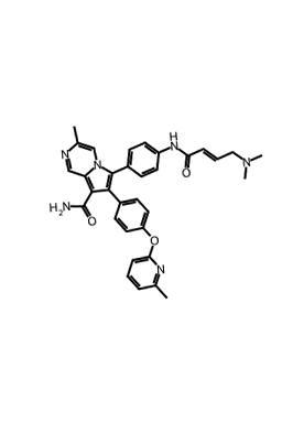 Cc1cn2c(-c3ccc(NC(=O)/C=C/CN(C)C)cc3)c(-c3ccc(Oc4cccc(C)n4)cc3)c(C(N)=O)c2cn1